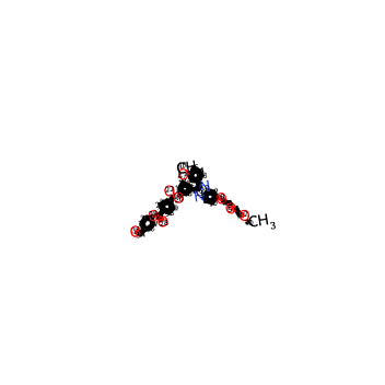 CCOCCOCCOc1ccc2nc(-c3cccc(OC(=O)c4ccc(C(=O)OC5CCC(C=O)CC5)cc4)c3)c(-c3cccc(OC)c3)nc2c1